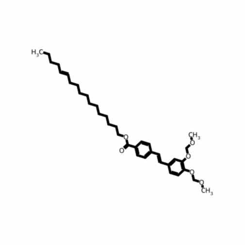 CCCCC=CCCCCCCCCCCCOC(=O)c1ccc(C=Cc2ccc(OCOC)c(OCOC)c2)cc1